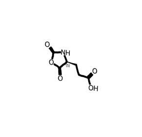 O=C(O)CC[C@@H]1NC(=O)OC1=O